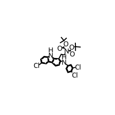 CC(C)(C)OC(=O)N(CCc1c(Nc2ccc(Cl)c(Cl)c2)ccc2c1[nH]c1ccc(Cl)cc12)C(=O)OC(C)(C)C